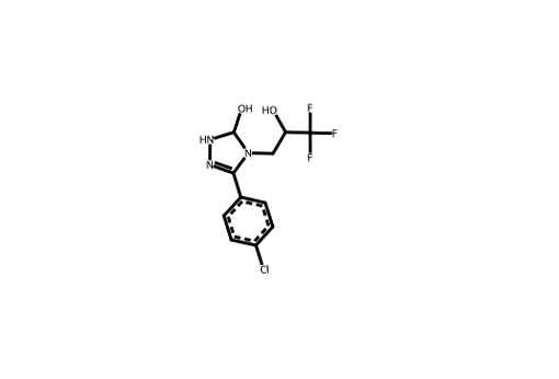 OC1NN=C(c2ccc(Cl)cc2)N1CC(O)C(F)(F)F